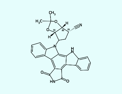 CC1(C)O[C@@H]2[C@H](C#N)CC(n3c4ccccc4c4c5c(c6c7ccccc7[nH]c6c43)C(=O)NC5=O)[C@@H]2O1